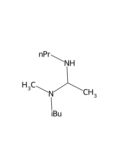 CCCNC(C)N(C)C(C)CC